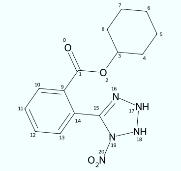 O=C(OC1CCCCC1)c1ccccc1C1=NNNN1[N+](=O)[O-]